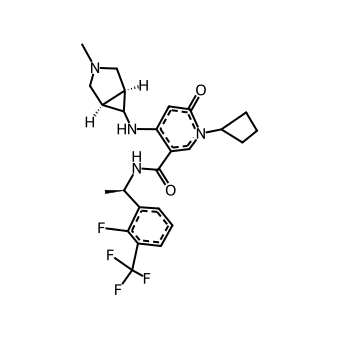 C[C@@H](NC(=O)c1cn(C2CCC2)c(=O)cc1NC1[C@H]2CN(C)C[C@@H]12)c1cccc(C(F)(F)F)c1F